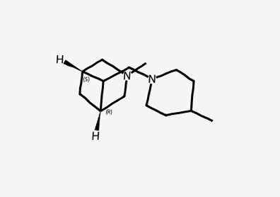 CC1CCN(CC2[C@@H]3C[C@H]2CN(C)C3)CC1